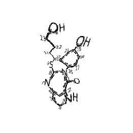 O=c1c2[nH]ccc2nc(SCCCCO)n1-c1ccc(O)cc1